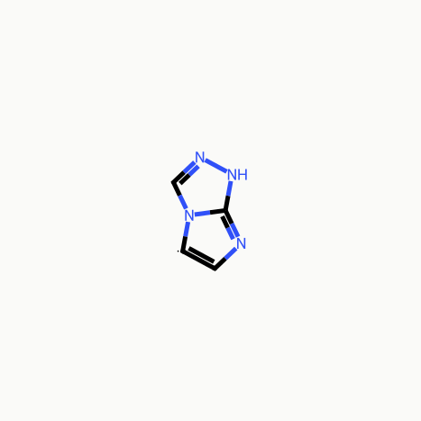 [c]1cnc2[nH]ncn12